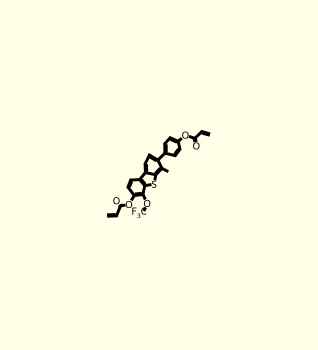 C=CC(=O)Oc1ccc(-c2ccc3c(sc4c(OC(F)(F)F)c(OC(=O)C=C)ccc43)c2C)cc1